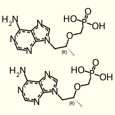 C[C@H](Cn1cnc2c(N)ncnc21)OCP(=O)(O)O.C[C@H](Cn1cnc2c(N)ncnc21)OCP(=O)(O)O